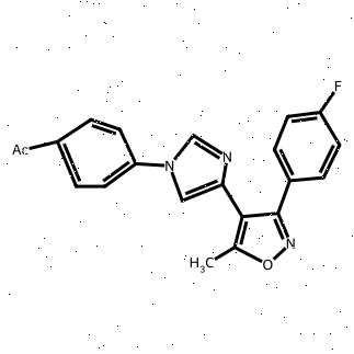 CC(=O)c1ccc(-n2cnc(-c3c(-c4ccc(F)cc4)noc3C)c2)cc1